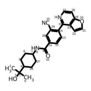 CC(C)(O)C1CCC(NC(=O)c2ccc(-c3nccc4occc34)c(C#N)c2)CC1